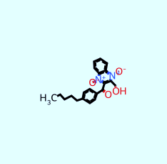 CCCCCc1ccc(C(=O)c2c(CO)[n+]([O-])c3ccccc3[n+]2[O-])cc1